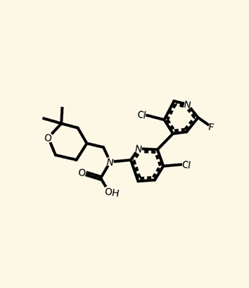 CC1(C)CC(CN(C(=O)O)c2ccc(Cl)c(-c3cc(F)ncc3Cl)n2)CCO1